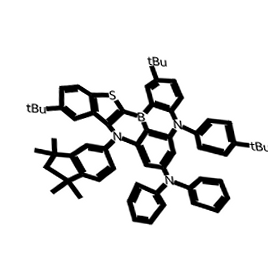 CC(C)(C)c1ccc(N2c3ccc(C(C)(C)C)cc3B3c4sc5ccc(C(C)(C)C)cc5c4N(c4ccc5c(c4)C(C)(C)CC5(C)C)c4cc(N(c5ccccc5)c5ccccc5)cc2c43)cc1